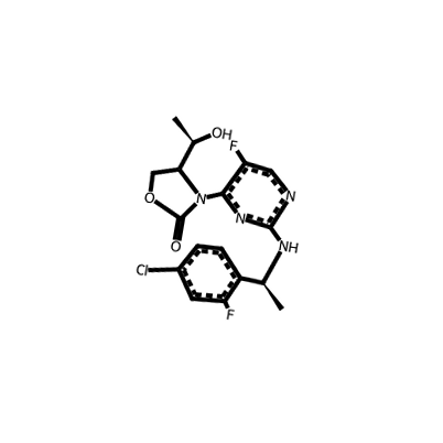 C[C@H](Nc1ncc(F)c(N2C(=O)OCC2[C@@H](C)O)n1)c1ccc(Cl)cc1F